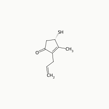 C=CCC1=C(C)[C@@H](S)CC1=O